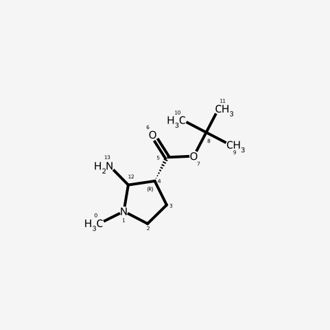 CN1CC[C@@H](C(=O)OC(C)(C)C)C1N